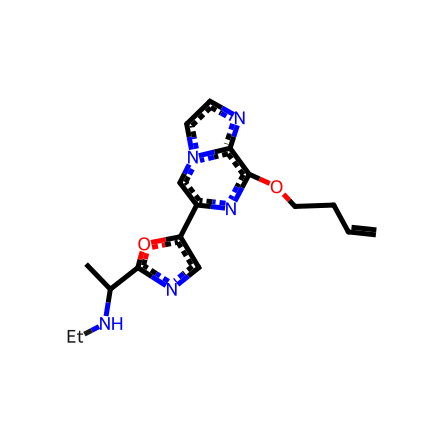 C=CCCOc1nc(-c2cnc(C(C)NCC)o2)cn2ccnc12